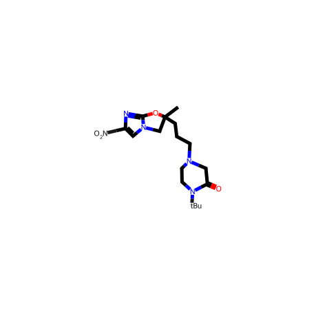 CC1(CCCN2CCN(C(C)(C)C)C(=O)C2)Cn2cc([N+](=O)[O-])nc2O1